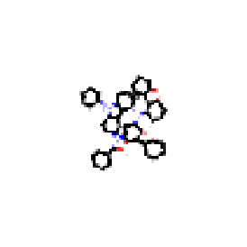 c1ccc(-c2nc3cc(N(c4cccc5oc6ccccc6c45)c4cccc5c4c4ccccc4n5-c4ccccc4)c4oc5ccccc5c4c3o2)cc1